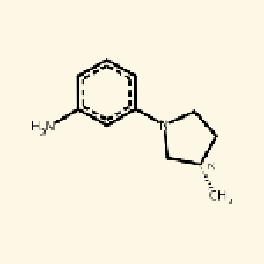 C[C@H]1CCN(c2cccc(N)c2)C1